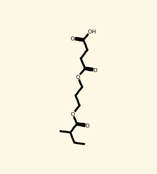 CCC(C)C(=O)OCCCOC(=O)CCC(=O)O